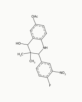 CC(=O)Oc1ccc2c(c1)C(O)C(C)(C)C(c1ccc(F)c([N+](=O)[O-])c1)N2